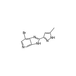 Cc1cc(-c2nc3c(Br)cncc3[nH]2)n[nH]1